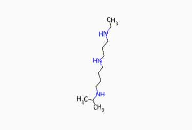 CCNCCCNCCCCNC(C)C